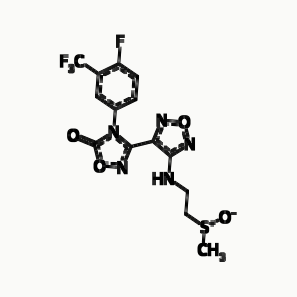 C[S+]([O-])CCNc1nonc1-c1noc(=O)n1-c1ccc(F)c(C(F)(F)F)c1